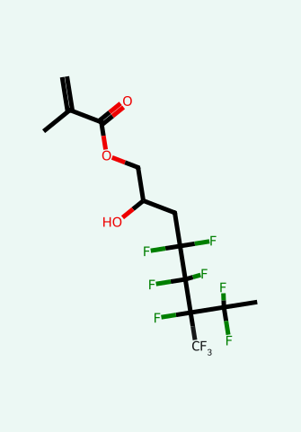 C=C(C)C(=O)OCC(O)CC(F)(F)C(F)(F)C(F)(C(C)(F)F)C(F)(F)F